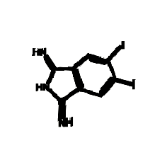 N=C1NC(=N)c2cc(I)c(I)cc21